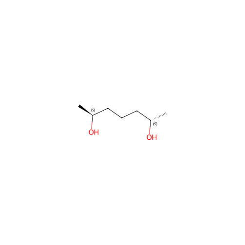 C[C@H](O)CCC[C@H](C)O